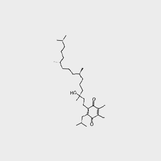 CC1=C(C)C(=O)C(CC(C)C)=C(CCC(C)(O)CCC[C@H](C)CCC[C@H](C)CCCC(C)C)C1=O